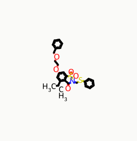 CC(C)c1cc(OCCOCc2ccccc2)cc2c1C(=O)N(CSc1ccccc1)S2(=O)=O